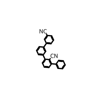 N#Cc1cccc(-c2cccc(-c3cccc(-c4ccccc4)c3C#N)c2)c1